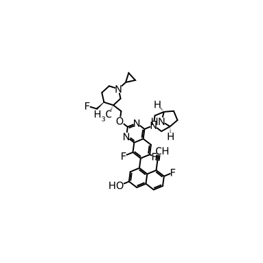 C#Cc1c(F)ccc2cc(O)cc(-c3c(F)cc4c(N5C[C@H]6CC[C@@H](C5)N6)nc(OC[C@]5(C)CN(C6CC6)CC[C@@H]5CF)nc4c3F)c12